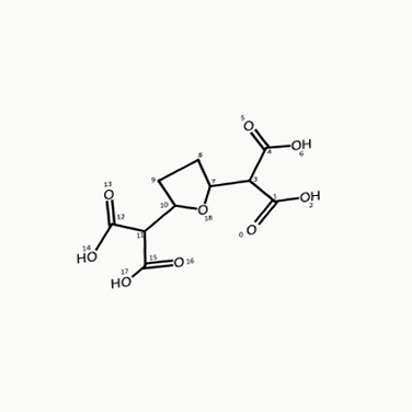 O=C(O)C(C(=O)O)C1CCC(C(C(=O)O)C(=O)O)O1